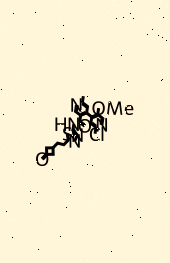 COc1cnc(Cl)cc1-c1cc(C)ncc1C(=O)Nc1nnc(CCC2CC(=O)C2)s1